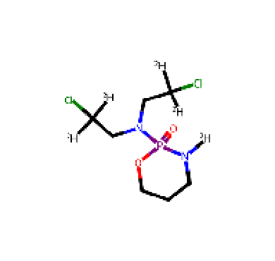 [2H]N1CCCOP1(=O)N(CC([2H])([2H])Cl)CC([2H])([2H])Cl